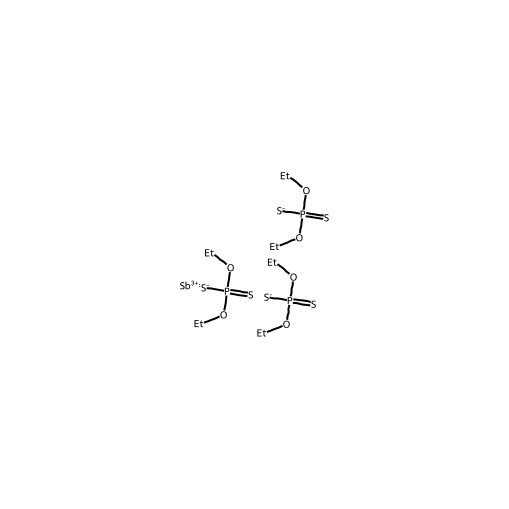 CCOP(=S)([S-])OCC.CCOP(=S)([S-])OCC.CCOP(=S)([S-])OCC.[Sb+3]